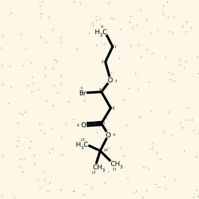 CCCOC(Br)CC(=O)OC(C)(C)C